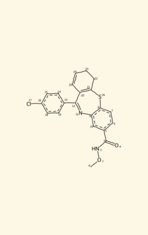 CONC(=O)c1ccc2c(c1)N=C(c1ccc(Cl)cc1)C1=C(CCC=C1)S2